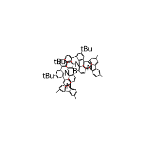 Cc1ccc2c(c1)c1cc(C)ccc1n2-c1ccc2c(c1)N(c1c(-c3ccccc3)cc(C(C)(C)C)cc1-c1ccccc1)c1cc(C(C)(C)C)cc3c1B2c1ccc(-n2c4ccc(C)cc4c4cc(C)ccc42)cc1N3c1c(-c2ccccc2)cc(C(C)(C)C)cc1-c1ccccc1